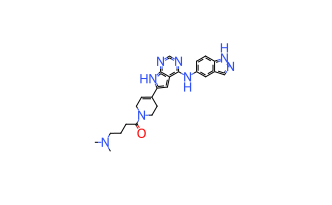 CN(C)CCCC(=O)N1CC=C(c2cc3c(Nc4ccc5[nH]ncc5c4)ncnc3[nH]2)CC1